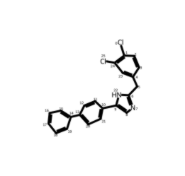 Clc1ccc(Cc2ncc(-c3ccc(-c4ccccc4)cc3)[nH]2)cc1Cl